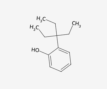 CCC(CC)(CC)c1ccccc1O